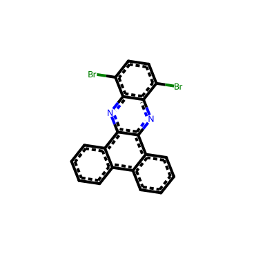 Brc1ccc(Br)c2nc3c4ccccc4c4ccccc4c3nc12